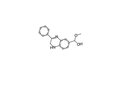 COC(O)c1ccc2c(c1)N=C(c1ccccc1)CN2